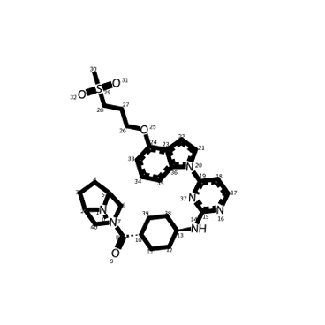 CN1C2CCC1CN(C(=O)[C@H]1CC[C@H](Nc3nccc(-n4ccc5c(OCCCS(C)(=O)=O)cccc54)n3)CC1)C2